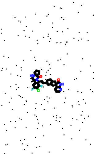 C[C@@]1(c2cc(F)c(Cl)c(F)c2)CNC2(CCCC2)C(=O)N1C/C=C/c1ccc2c(c1)C[C@@]1(C2)C(=O)Nc2ncccc21